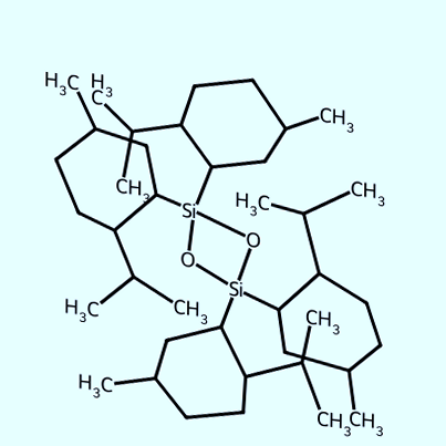 CC1CCC(C(C)C)C([Si]2(C3CC(C)CCC3C(C)C)O[Si](C3CC(C)CCC3C(C)C)(C3CC(C)CCC3C(C)C)O2)C1